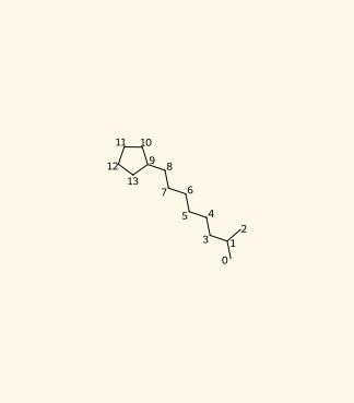 CC(C)CCCCCCC1CCCC1